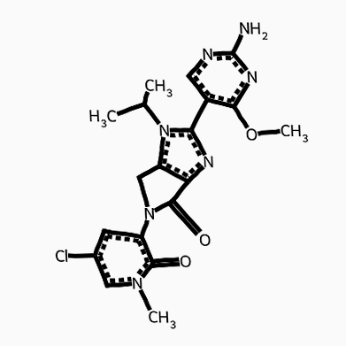 COc1nc(N)ncc1-c1nc2c(n1C(C)C)CN(c1cc(Cl)cn(C)c1=O)C2=O